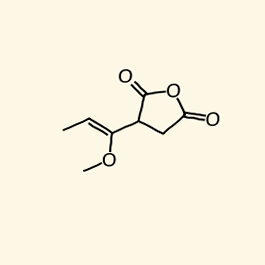 CC=C(OC)C1CC(=O)OC1=O